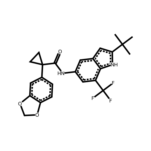 CC(C)(C)c1cc2cc(NC(=O)C3(c4ccc5c(c4)OCO5)CC3)cc(C(F)(F)F)c2[nH]1